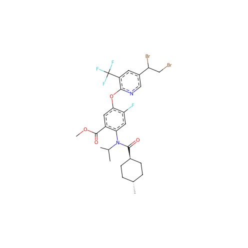 COC(=O)c1cc(Oc2ncc(C(Br)CBr)cc2C(F)(F)F)c(F)cc1N(C(=O)[C@H]1CC[C@H](C)CC1)C(C)C